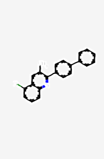 Cc1cc2c(Cl)cccc2nc1-c1ccc(-c2ccccc2)cc1